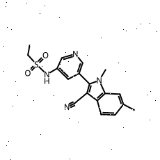 CCS(=O)(=O)Nc1cncc(-c2c(C#N)c3ccc(C)cc3n2C)c1